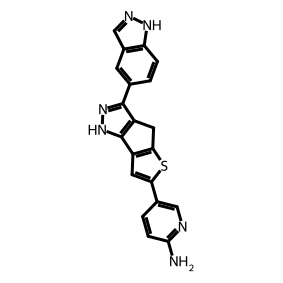 Nc1ccc(-c2cc3c(s2)Cc2c(-c4ccc5[nH]ncc5c4)n[nH]c2-3)cn1